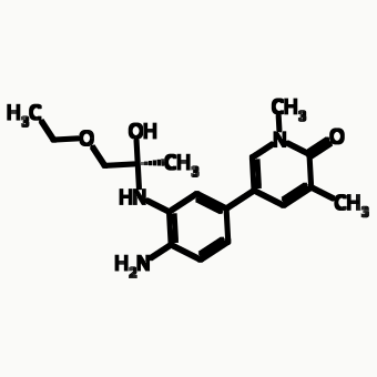 CCOC[C@@](C)(O)Nc1cc(-c2cc(C)c(=O)n(C)c2)ccc1N